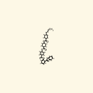 CCCCC1CCC(C(=O)OC2CCC(C(=O)OC3CCC(C(=O)Oc4ccccc4-c4nc5ccccc5s4)CC3)CC2)CC1